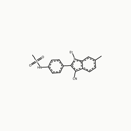 CCn1c(-c2ccc(NS(C)(=O)=O)cc2)c(C#N)c2ccc(C)cc21